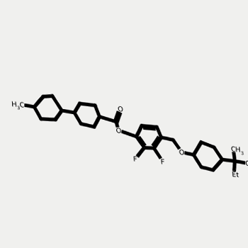 CCC(C)(C)C1CCC(OCc2ccc(OC(=O)C3CCC(C4CCC(C)CC4)CC3)c(F)c2F)CC1